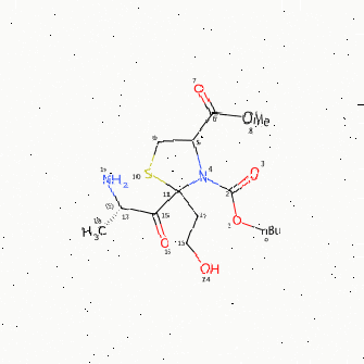 CCCCOC(=O)N1C(C(=O)OC)CSC1(CCO)C(=O)[C@H](C)N